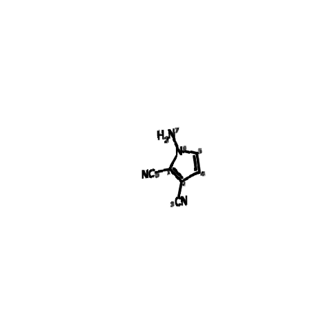 N#Cc1c([14C]#N)ccn1N